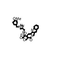 CC[C@@]1(OOCc2cn(Cc3ccc(OC)cc3)nn2)C(=O)OCc2c1cc1n(c2=O)Cc2cc3ccccc3nc2-1